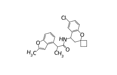 Cc1cc2c(C(C)C(=O)NC3CC4(CCC4)Oc4ccc(Cl)cc43)cccc2o1